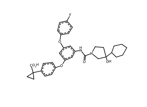 O=C(Nc1cc(Oc2ccc(F)cc2)cc(Oc2ccc(C3(C(=O)O)CC3)cc2)c1)N1CCC(O)(C2CCCCC2)C1